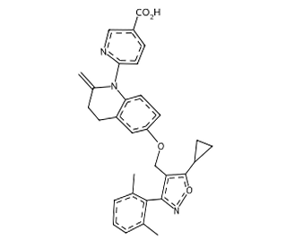 C=C1CCc2cc(OCc3c(-c4c(C)cccc4C)noc3C3CC3)ccc2N1c1ccc(C(=O)O)cn1